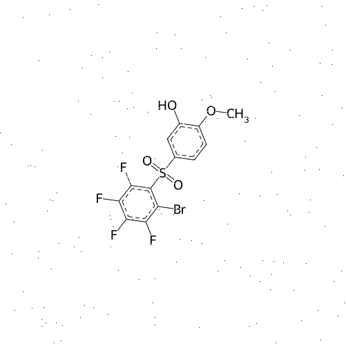 COc1ccc(S(=O)(=O)c2c(F)c(F)c(F)c(F)c2Br)cc1O